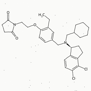 CCc1cc(CN(CC2CCCCC2)[C@H]2CCc3c2ccc(Cl)c3Cl)ccc1OCCN1C(=O)CCC1=O